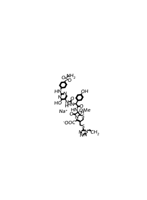 C=Cn1nnnc1SCC1=C(C(=O)[O-])N2C(=O)[C@](NC(=O)C(NC(=O)Nc3cnc(Nc4ccc(S(N)(=O)=O)cc4)nc3O)c3ccc(O)cc3)(OC)[C@@H]2SC1.[Na+]